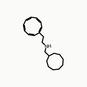 c1ccccc(CCNCC2CCCCCCCC2)cccc1